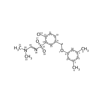 Cc1cc(C)cc(OCc2ccc(Cl)c(S(=O)(=O)N=CN(C)C)c2)c1